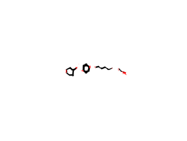 O=C(Oc1ccc(OCCCCCCOCC2CO2)cc1)C1CCC2OC2C1